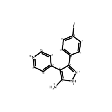 Nc1[nH]nc(-c2ccc(F)cc2)c1-c1ccncc1